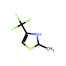 C[C]1NC(C(F)(F)F)=CS1